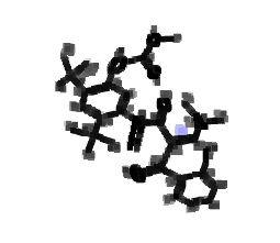 COC(=O)Oc1cc(NC(=O)/C(=C\N(C)C)C(=O)c2ccccc2F)c(C(C)(C)C)cc1C(C)(C)C